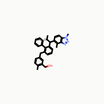 Cc1ccc(Cc2cccc(C(c3ccc4c(nnn4C)c3C)C(C)C(=O)O)c2-c2ccccc2)cc1CO